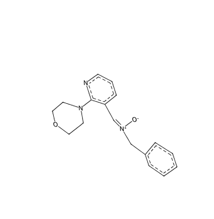 [O-]/[N+](=C\c1cccnc1N1CCOCC1)Cc1ccccc1